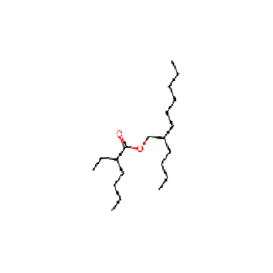 CCCCCCC(CCCC)COC(=O)C(CC)CCCC